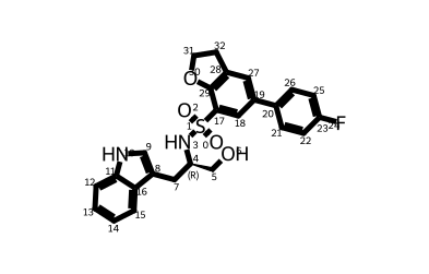 O=S(=O)(N[C@@H](CO)Cc1c[nH]c2ccccc12)c1cc(-c2ccc(F)cc2)cc2c1OCC2